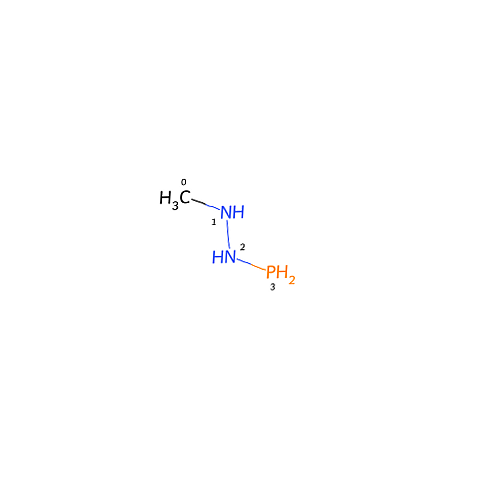 CNNP